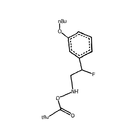 CCCCOc1cccc(C(F)CNOC(=O)C(C)(C)C)c1